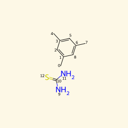 Cc1cc(C)cc(C)c1.NC(N)=S